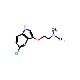 CN(C)CCOc1c[nH]c2ccc(Cl)cc12